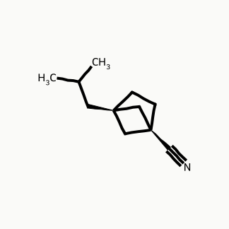 CC(C)C[C@]12CC[C@](C#N)(C1)C2